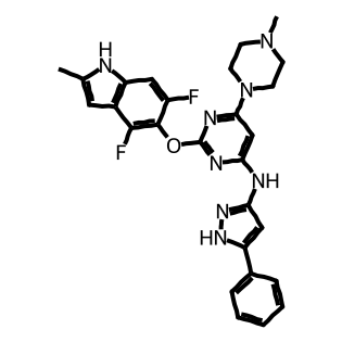 Cc1cc2c(F)c(Oc3nc(Nc4cc(-c5ccccc5)[nH]n4)cc(N4CCN(C)CC4)n3)c(F)cc2[nH]1